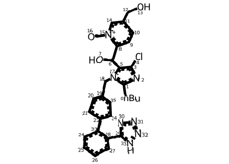 CCCCc1nc(Cl)c(C(O)c2ccc(CO)c[n+]2[O-])n1Cc1ccc(-c2ccccc2-c2nnn[nH]2)cc1